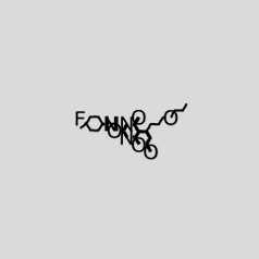 CCCOCCCc1cc(=O)oc2nc(ON=C3CCC(C)(F)CC3)[nH]c(=O)c12